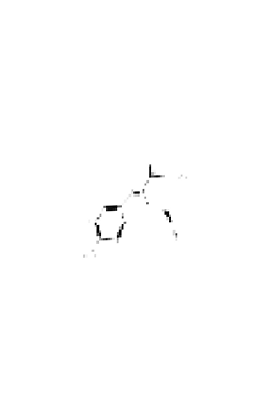 COC(=O)C(=Cc1ccc(OC)cc1)OC=C=O